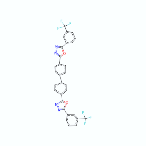 FC(F)(F)c1cccc(-c2nnc(-c3ccc(-c4ccc(-c5nnc(-c6cccc(C(F)(F)F)c6)o5)cc4)cc3)o2)c1